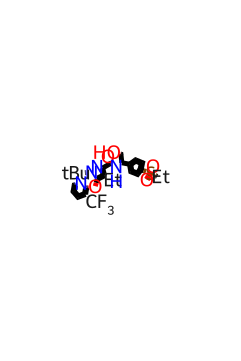 CCc1c(C(=O)NC(CO)c2ccc(S(=O)(=O)CC)cc2)nn(C(C)(C)C)c1Oc1ncccc1C(F)(F)F